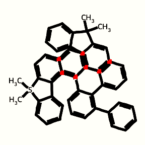 CC1(C)c2ccccc2-c2c(N(c3cccc(-c4ccccc4)c3-c3ccccc3-c3ccccc3)c3cccc4c3-c3ccccc3S4(C)C)cccc21